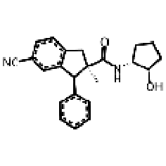 C[C@@]1(C(=O)N[C@@H]2CCC[C@H]2O)Cc2ccc(C#N)cc2[C@@H]1c1ccccc1